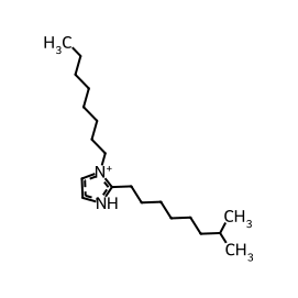 CCCCCCCC[n+]1cc[nH]c1CCCCCCC(C)C